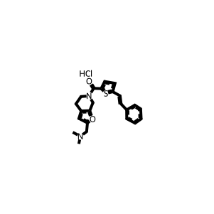 CN(C)Cc1cc2c(o1)CN(C(=O)c1ccc(C=Cc3ccccc3)s1)CC2.Cl